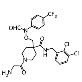 NCC(=O)N1CCC(CON(C=O)c2ccc(C(F)(F)F)cc2)(C(=O)NCc2cccc(Cl)c2Cl)CC1